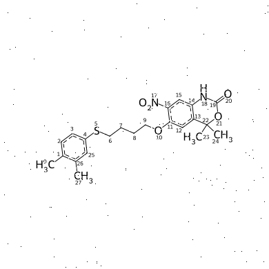 Cc1ccc(SCCCCOc2cc3c(cc2[N+](=O)[O-])NC(=O)OC3(C)C)cc1C